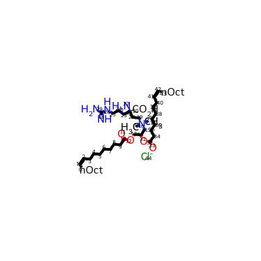 CCCCCCCC/C=C\CCCCCCCC(=O)OCC(C[N+](C)(C)CC[C@](N)(CCCNC(=N)N)C(=O)O)OC(=O)CCCCCCC/C=C\CCCCCCCC.[Cl-]